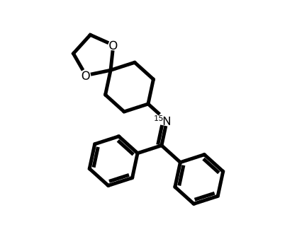 c1ccc(C(=[15N]C2CCC3(CC2)OCCO3)c2ccccc2)cc1